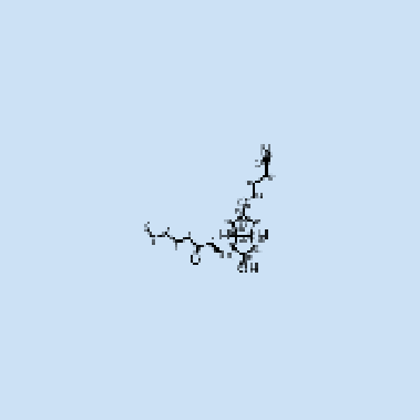 CCCCCC(=O)C=C[C@@H]1[C@@H]2C[C@@H](OCCCC#N)C[C@H]2C[C@H]1O